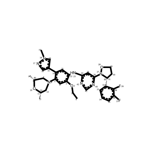 CCOc1cc(N2C[C@@H](C)O[C@@H](C)C2)c(-c2cnn(C)c2)cc1Nc1cc(N2OCC[C@@H]2c2cccc(F)c2F)ncn1